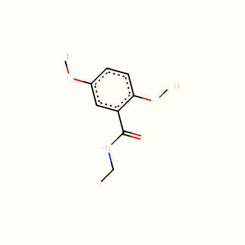 CCNC(=O)c1cc(OC)ccc1OC